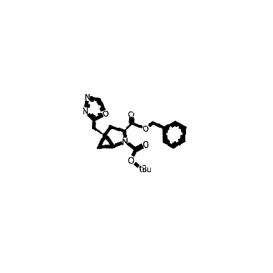 CC(C)(C)OC(=O)N1C2C[C@]2(Cc2nnco2)C[C@H]1C(=O)OCc1ccccc1